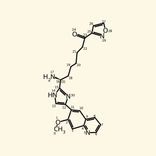 COc1cc2ncccc2cc1-c1c[nH]c([C@@H](N)CCCCCC(=O)c2ccon2)n1